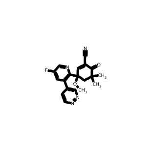 COC1(c2ncc(F)cc2-c2ccnnc2)C=C(C#N)C(=O)C(C)(C)C1